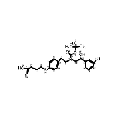 CC(C)(C)OC(=O)N(CCc1ccc(SCCCC(=O)O)cc1)C[C@H](O)c1cccc(Cl)c1